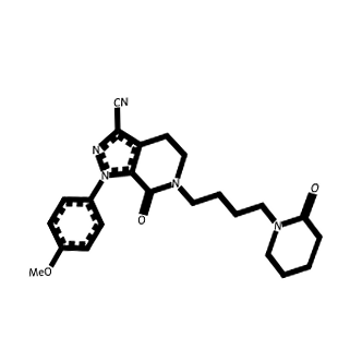 COc1ccc(-n2nc(C#N)c3c2C(=O)N(CCCCN2CCCCC2=O)CC3)cc1